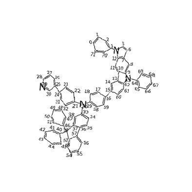 c1ccc(-n2ccc3cc4c(cc32)c2cc(-c3ccc(N(c5ccc(-c6cccnc6)cc5)c5ccc6c(c5)C(c5ccccc5)(c5ccccc5)c5ccccc5-6)cc3)ccc2n4-c2ccccc2)cc1